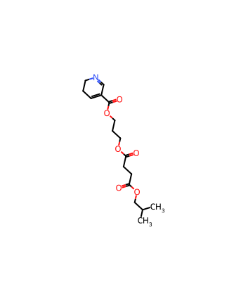 CC(C)COC(=O)CCC(=O)OCCCOC(=O)C1=CCCN=C1